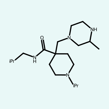 CC(C)CNC(=O)C1(CN2CCNC(C)C2)CCN(C(C)C)CC1